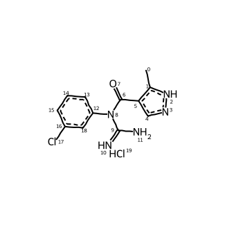 Cc1[nH]ncc1C(=O)N(C(=N)N)c1cccc(Cl)c1.Cl